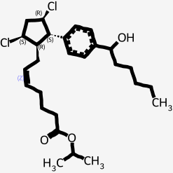 CCCCCC(O)c1ccc([C@@H]2[C@@H](C/C=C\CCCC(=O)OC(C)C)[C@@H](Cl)C[C@H]2Cl)cc1